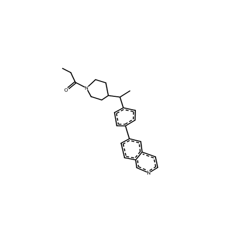 CCC(=O)N1CCC(C(C)c2ccc(-c3ccc4cnccc4c3)cc2)CC1